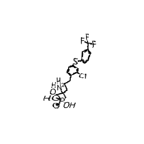 NC(CO)(CCCc1ccc(Sc2cccc(C(F)(F)F)c2)cc1Cl)CP(=O)(O)O